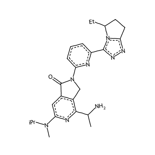 CCC1CCc2nnc(-c3cccc(N4Cc5c(cc(N(C)C(C)C)nc5C(C)N)C4=O)n3)n21